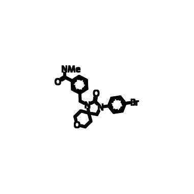 CNC(=O)c1cccc(CN2C(=O)N(c3ccc(Br)cc3)CC23CCOCC3)c1